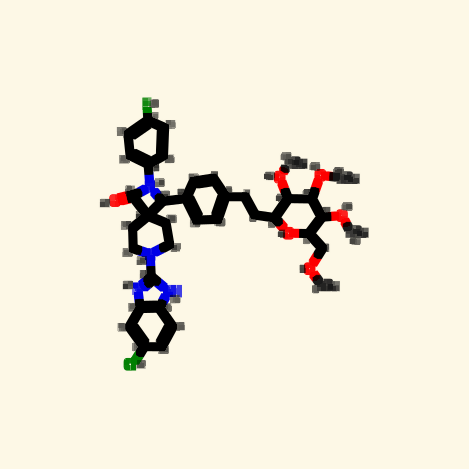 CCCCOCC1OC(CCc2ccc(C3N(c4ccc(F)cc4)C(=O)C34CCN(c3nc5cc(Cl)ccc5[nH]3)CC4)cc2)C(OCCCC)C(OCCCC)C1OCCCC